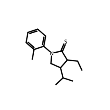 CCC1C(=S)N(c2ccccc2C)CC1C(C)C